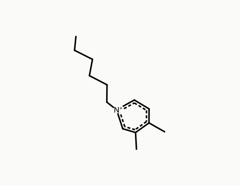 CCCCCC[n+]1ccc(C)c(C)c1